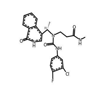 CNC(=O)CCN(C(=O)Nc1ccc(F)c(Cl)c1)[C@@H](C)c1c[nH]c(=O)c2ccccc12